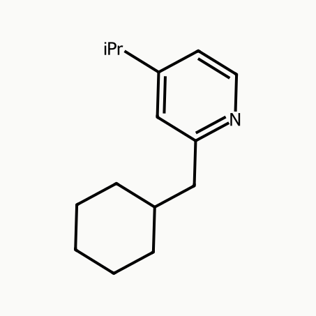 CC(C)c1ccnc(CC2CCCCC2)c1